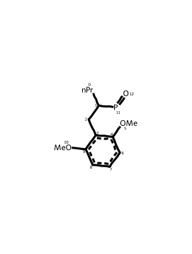 CCCC(Cc1c(OC)cccc1OC)P=O